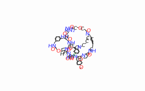 COc1ccc(C[C@@H]2NC(=O)[C@H]([C@@H](C)O)NC(=O)[C@@H]3[C@@H]4CCN3C(=O)[C@@H]3Cc5cn(c6ccc(F)cc56)CCCCCCN(Cc5ccc(cc5)CCNC(=O)[C@]5(C)CCCN5C2=O)C(=O)CCOCCC(=O)N[C@H](CN)C(=O)N[C@@H](Cc2cccc(c2)CNC(=O)CO4)C(=O)N3)cc1